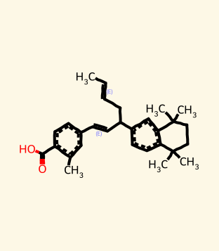 C/C=C/CC(/C=C/c1ccc(C(=O)O)c(C)c1)c1ccc2c(c1)C(C)(C)CCC2(C)C